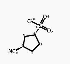 N#C[C@@H]1CC[C@@H](S(=O)(=O)Cl)C1